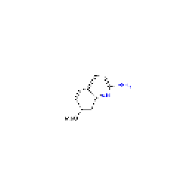 COc1ccc2ccc(N)nc2c1